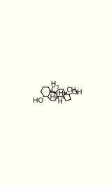 C[C@]12CCCC(O)C1CC[C@@H]1[C@H]2CC[C@]2(C)C(O)CC[C@@H]12